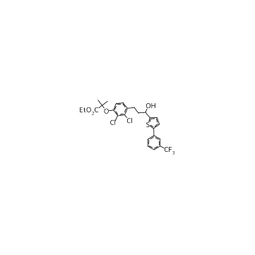 CCOC(=O)C(C)(C)Oc1ccc(CCC(O)c2ccc(-c3cccc(C(F)(F)F)c3)s2)c(Cl)c1Cl